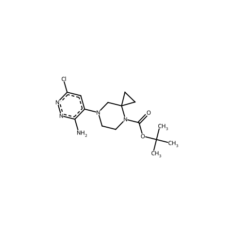 CC(C)(C)OC(=O)N1CCN(c2cc(Cl)nnc2N)CC12CC2